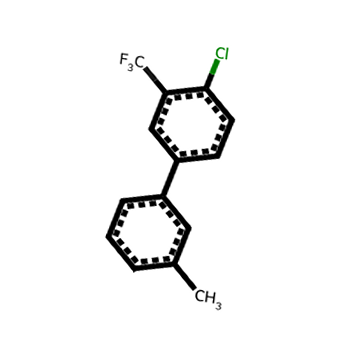 Cc1[c]ccc(-c2ccc(Cl)c(C(F)(F)F)c2)c1